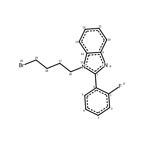 Fc1ccccc1-c1nc2ccccc2n1CCCCBr